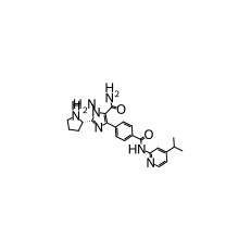 CC(C)c1ccnc(NC(=O)c2ccc(-c3nc([C@@H]4CCCN4)n(N)c3C(N)=O)cc2)c1